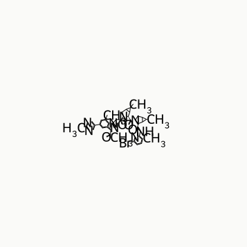 CC(=O)c1nn(CC(=O)N2CC3C(C)C3[C@H]2C(=O)N2CC3C(C)C3[C@H]2C(=O)Nc2nc(Br)ccc2C)c2c(C)cc(-c3cnc(C)nc3)cc12